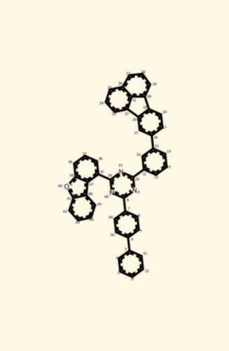 c1ccc(-c2ccc(-c3nc(-c4cccc(-c5ccc6c(c5)-c5cccc7cccc-6c57)c4)nc(-c4cccc5oc6ccccc6c45)n3)cc2)cc1